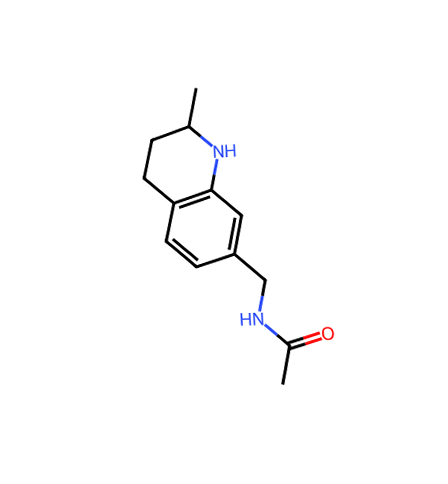 CC(=O)NCc1ccc2c(c1)NC(C)CC2